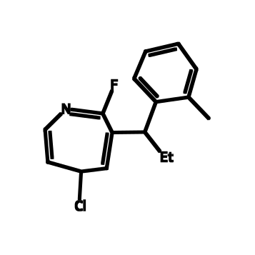 CCC(C1=CC(Cl)C=CN=C1F)c1ccccc1C